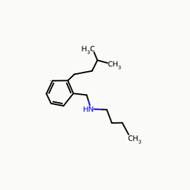 CCCCNCc1ccc[c]c1CCC(C)C